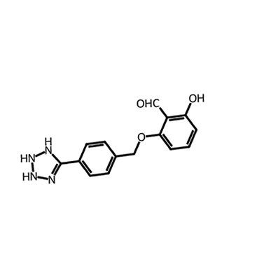 O=Cc1c(O)cccc1OCc1ccc(C2=NNNN2)cc1